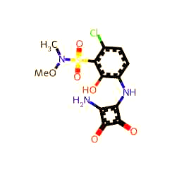 CON(C)S(=O)(=O)c1c(Cl)ccc(Nc2c(N)c(=O)c2=O)c1O